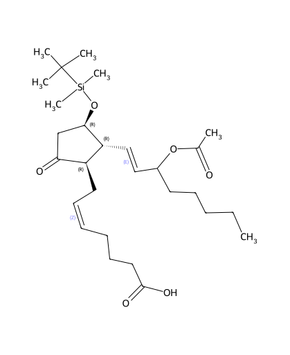 CCCCCC(/C=C/[C@H]1[C@H](O[Si](C)(C)C(C)(C)C)CC(=O)[C@@H]1C/C=C\CCCC(=O)O)OC(C)=O